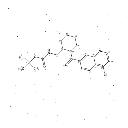 CC(C)(C)OC(=O)NCC1CCCCN1C(=O)c1ccc2c(Cl)ncnc2c1